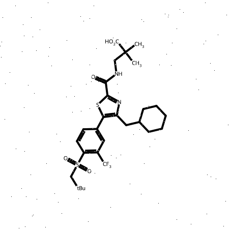 CC(C)(C)CS(=O)(=O)c1ccc(-c2sc(C(=O)NCC(C)(C)C(=O)O)nc2CC2CCCCC2)cc1C(F)(F)F